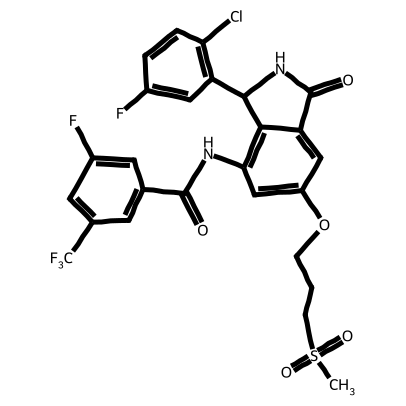 CS(=O)(=O)CCCOc1cc(NC(=O)c2cc(F)cc(C(F)(F)F)c2)c2c(c1)C(=O)NC2c1cc(F)ccc1Cl